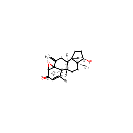 C=C1C[C@H]2[C@@H]3CC[C@H](O)[C@@]3(C)CC[C@@H]2[C@@]2(C)C(CC)=CC(=O)C3OC132